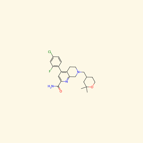 CC1(C)CC(CN2CCc3c(-c4ccc(Cl)cc4F)cc(C(N)=O)nc3C2)CCO1